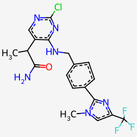 CC(C(N)=O)c1cnc(Cl)nc1NCc1ccc(-c2nc(C(F)(F)F)cn2C)cc1